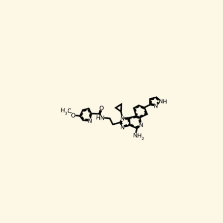 COc1ccc(C(=O)NCCc2nc3c(N)nc4cc(-c5cc[nH]n5)ccc4c3n2C2CC2)nc1